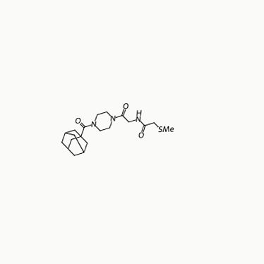 CSCC(=O)NCC(=O)N1CCN(C(=O)C23CC4CC(CC(C4)C2)C3)CC1